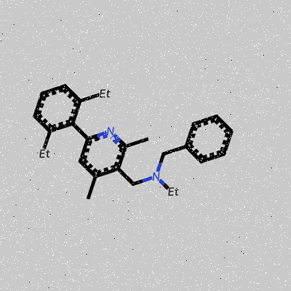 CCc1cccc(CC)c1-c1cc(C)c(CN(CC)Cc2ccccc2)c(C)n1